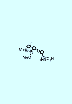 CCC1(C[C@@H](CC(=O)O)c2cccc(OCc3ccc(-c4cc(OC)ccc4F)c([C@H](OCCOC)C(C)(C)C)c3)c2)CC1